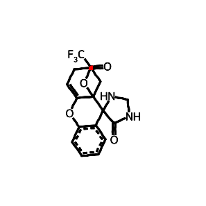 O=C(OC12CCCC=C1Oc1ccccc1C21NCNC1=O)C(F)(F)F